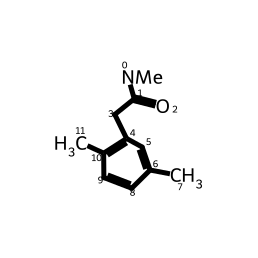 CNC(=O)Cc1cc(C)ccc1C